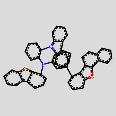 c1cc(-c2cccc3oc4c5ccccc5ccc4c23)cc(N(c2ccccc2-n2c3ccccc3c3ccccc32)c2cccc3c2sc2ccccc23)c1